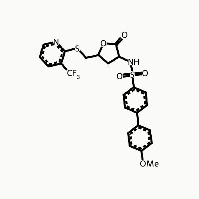 COc1ccc(-c2ccc(S(=O)(=O)NC3CC(CSc4ncccc4C(F)(F)F)OC3=O)cc2)cc1